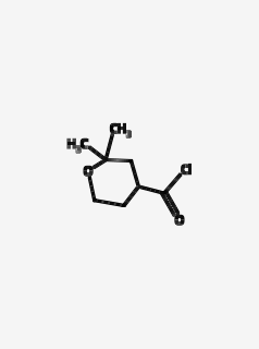 CC1(C)CC(C(=O)Cl)CCO1